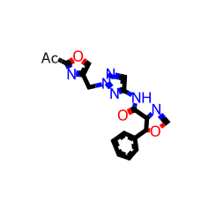 CC(=O)c1nc(Cn2ncc(NC(=O)C3N=COC3c3ccccc3)n2)co1